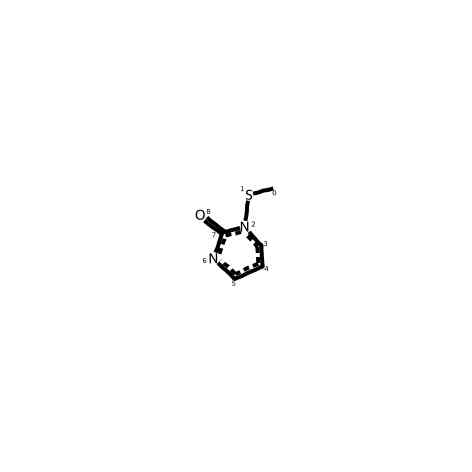 CSn1cccnc1=O